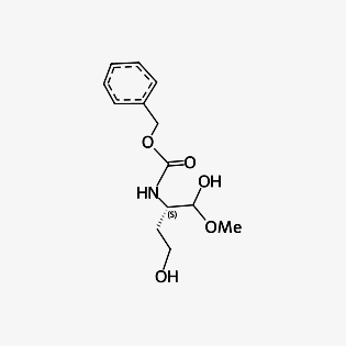 COC(O)[C@H](CCO)NC(=O)OCc1ccccc1